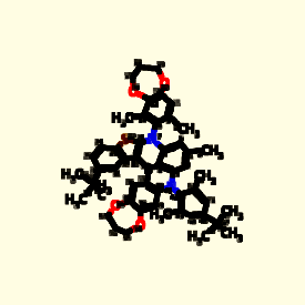 Cc1cc2c3c(c1)N(c1c(C)cc4c(c1C)OCCCO4)c1sc4ccc(C(C)(C)C)cc4c1B3c1cc3c(cc1N2c1c(C)cc(C(C)(C)C)cc1C)OCCCO3